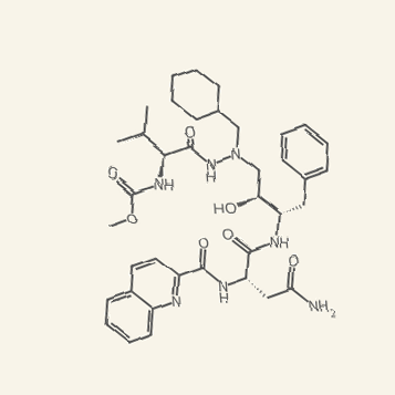 COC(=O)N[C@H](C(=O)NN(CC1CCCCC1)C[C@H](O)[C@H](Cc1ccccc1)NC(=O)[C@H](CC(N)=O)NC(=O)c1ccc2ccccc2n1)C(C)C